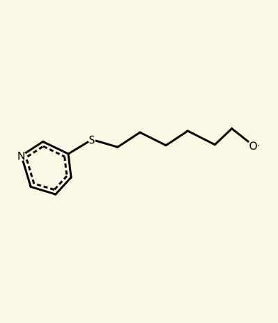 [O]CCCCCCSc1cccnc1